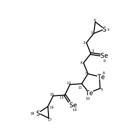 [Se]=C(CC1CS1)CC1[Te]C[Te]C1CC(=[Se])CC1CS1